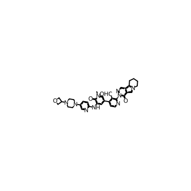 Cn1cc(-c2ccnc(-n3ncc4c5n(cc4c3=O)CCCC5)c2C=O)cc(Nc2ccc(N3CCN(C4COC4)CC3)cn2)c1=O